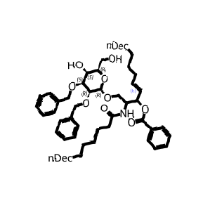 CCCCCCCCCCCCC/C=C/C(OC(=O)c1ccccc1)C(CO[C@@H]1O[C@H](CO)[C@H](O)[C@H](OCc2ccccc2)[C@H]1OCc1ccccc1)NC(=O)CCCCCCCCCCCCCCC